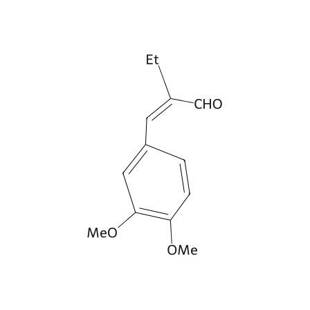 CCC(C=O)=Cc1ccc(OC)c(OC)c1